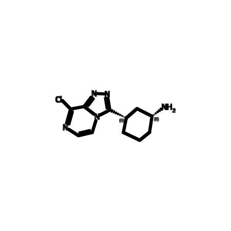 N[C@@H]1CCC[C@H](c2nnc3c(Cl)nccn23)C1